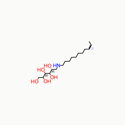 C/C=C\CCCCCCCCNC[C@@H](O)C(O)[C@H](O)C(O)CO